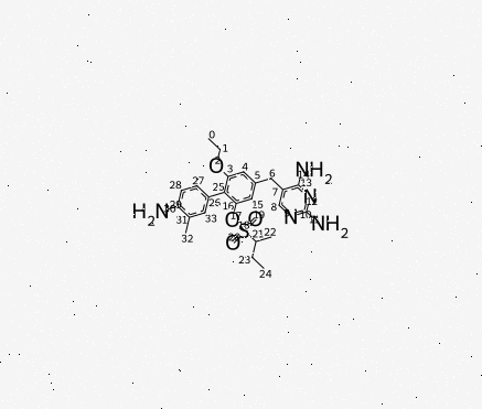 CCOc1cc(Cc2cnc(N)nc2N)cc(OS(=O)(=O)C(C)CC)c1-c1ccc(N)c(C)c1